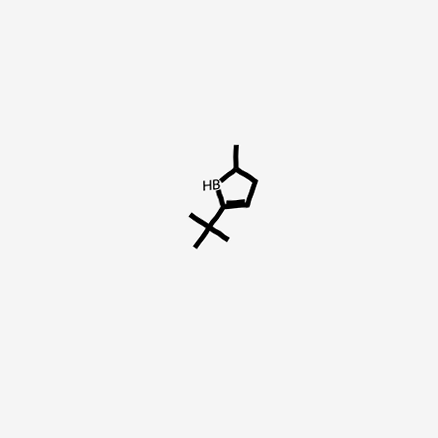 CC1BC(C(C)(C)C)=CC1